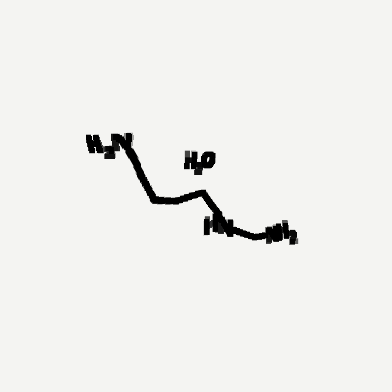 NCCNN.O